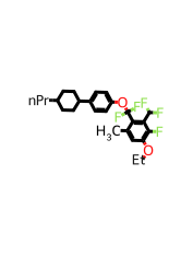 CCCC1CCC(c2ccc(OC(F)(F)c3c(C)cc(OCC)c(F)c3C(F)F)cc2)CC1